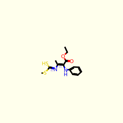 CCOC(=O)/C(Nc1ccccc1)=C(C)/N=C(\S)SC